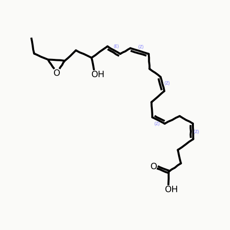 CCC1OC1CC(O)/C=C/C=C\C/C=C\C/C=C\C/C=C\CCC(=O)O